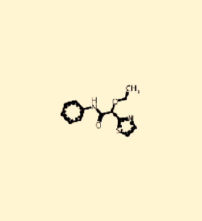 CCOC(C(=O)Nc1ccccc1)c1nccs1